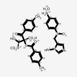 CCCn1cncc1C[S+]([O-])c1ccc(N)cc1.Cc1ccc(C(=O)O[C@@](C(=O)O)(C(=O)c2ccc(C)cc2)[C@H](O)C(=O)O)cc1.O